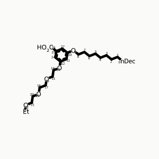 CCCCCCCCCCCCCCCCCCOc1cc(OCCOCCOCCOCC)cc(C(=O)O)c1